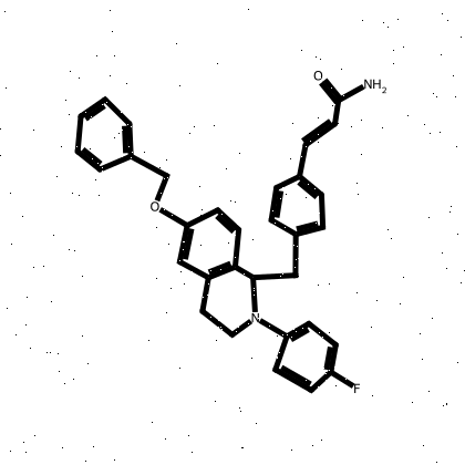 NC(=O)/C=C/c1ccc(CC2c3ccc(OCc4ccccc4)cc3CCN2c2ccc(F)cc2)cc1